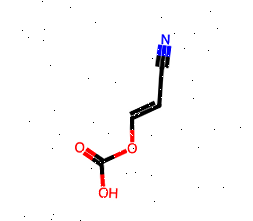 N#CC=COC(=O)O